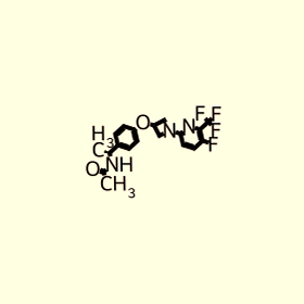 CC(=O)N[C@@H](C)c1ccc(OC2CN(c3ccc(F)c(C(F)(F)F)n3)C2)cc1